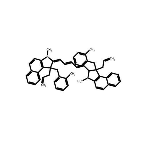 C=CCC1(Cc2ccccc2C)\C(=C/C=C/C=C/C2N(C)c3ccc4ccccc4c3C2(CC=C)Cc2ccccc2C)N(C)c2ccc3ccccc3c21